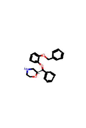 c1ccc(COc2ccccc2OC(c2ccccc2)[C@@H]2CNCCO2)cc1